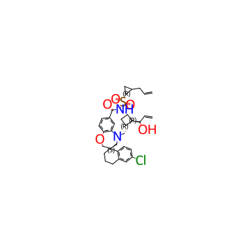 C=CCC1C[C@H]1S(=O)(=O)NC(=O)c1ccc2c(c1)N(C[C@@H]1CC[C@H]1C(O)C=C)C[C@@]1(CCCc3cc(Cl)ccc31)CO2